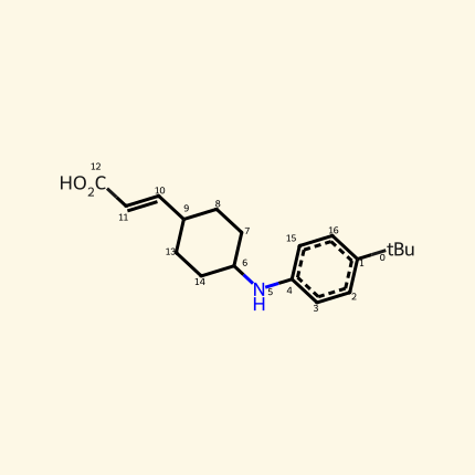 CC(C)(C)c1ccc(NC2CCC(/C=C/C(=O)O)CC2)cc1